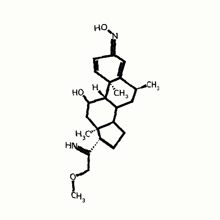 COCC(=N)[C@H]1CCC2C3C[C@H](C)C4=C/C(=N/O)C=C[C@]4(C)[C@H]3C(O)C[C@@]21C